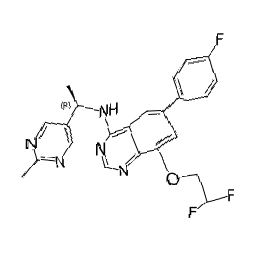 Cc1ncc([C@@H](C)Nc2ncnc3c(OCC(F)F)cc(-c4ccc(F)cc4)cc23)cn1